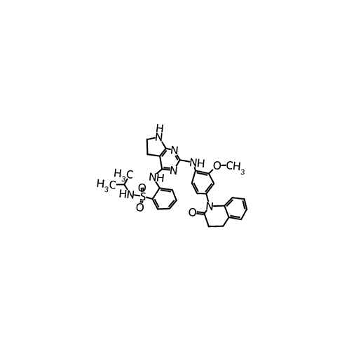 COc1cc(N2C(=O)CCc3ccccc32)ccc1Nc1nc2c(c(Nc3ccccc3S(=O)(=O)NC(C)C)n1)CCN2